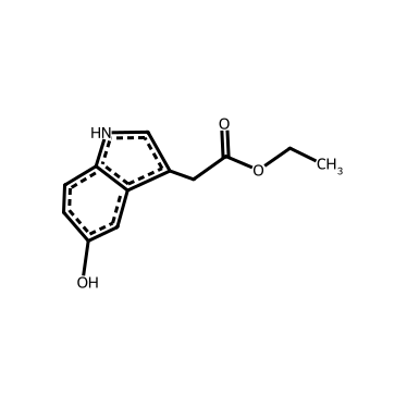 CCOC(=O)Cc1c[nH]c2ccc(O)cc12